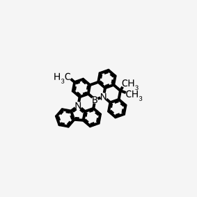 Cc1cc2c3c(c1)-n1c4ccccc4c4cccc(c41)B3N1c3ccccc3C(C)(C)c3cccc-2c31